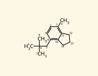 Cc1ccc(CC(C)(C)C)c2c1CCC2